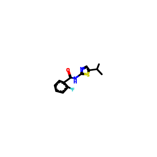 CC(C)c1cnc(NC(=O)c2ccccc2F)s1